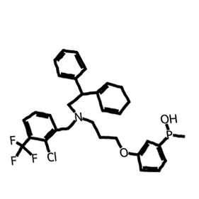 CP(O)c1cccc(OCCCN(Cc2cccc(C(F)(F)F)c2Cl)CC(C2=CCCC=C2)c2ccccc2)c1